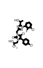 CC(O)c1nc(Cn2c(Cl)c(-c3ccc(Cl)cc3)n(CC(O)C(F)(F)F)c2=O)nn1-c1cccc(Cl)c1F